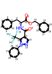 O=C(NC(Cc1ccccc1)C(=O)OCc1ccccc1)c1cnn(-c2ccccc2)c1C(F)(F)F